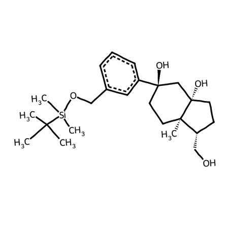 CC(C)(C)[Si](C)(C)OCc1cccc([C@@]2(O)CC[C@]3(C)[C@@H](CO)CC[C@]3(O)C2)c1